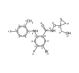 Cc1cc(I)ccc1Nc1cc(F)c(Br)cc1C(=O)NOC1(CO)CC1